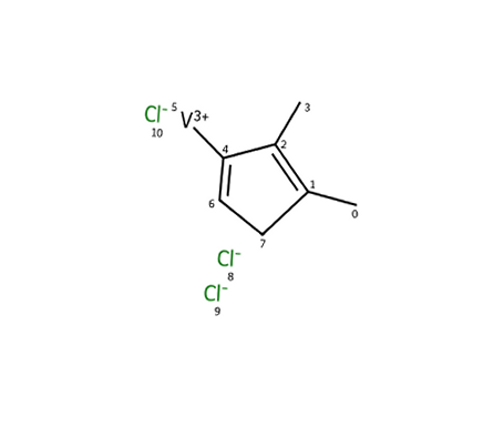 CC1=C(C)[C]([V+3])=CC1.[Cl-].[Cl-].[Cl-]